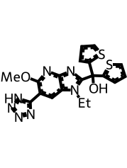 CCn1c(C(O)(c2cccs2)c2cccs2)nc2nc(OC)c(-c3nnn[nH]3)cc21